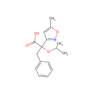 Cc1cc(C(Cc2ccccc2)(OC(C)C)C(=O)O)no1